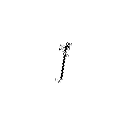 CCCCCCCCCCCCCCCC(=O)OC[C@@H](O)C1OC[C@H](O)[C@H]1O